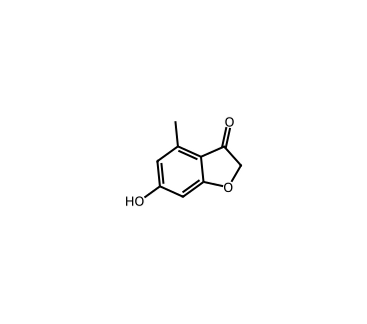 Cc1cc(O)cc2c1C(=O)CO2